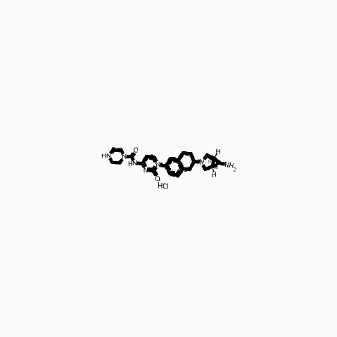 Cl.NC1[C@H]2CN(C3CCc4cc(-n5ccc(NC(=O)N6CCNCC6)nc5=O)ccc4C3)C[C@@H]12